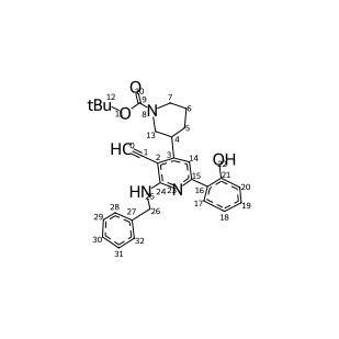 C#Cc1c(C2CCCN(C(=O)OC(C)(C)C)C2)cc(-c2ccccc2O)nc1NCc1ccccc1